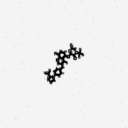 Cc1c(Cc2ccc(-n3ccnc3C(C)C)cc2)cnc2c(F)ccc(OC(OC(F)F)C(=O)OC(C)(C)C)c12